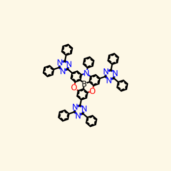 c1ccc(-c2nc(-c3ccccc3)nc(-c3cc4c5c(c3)Oc3cc(-c6nc(-c7ccccc7)nc(-c7ccccc7)n6)cc6c3B5c3c(cc(-c5nc(-c7ccccc7)nc(-c7ccccc7)n5)cc3N6c3ccccc3)O4)n2)cc1